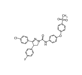 CS(=O)(=O)c1ccc(Oc2ccc(NC(=O)N3CC(c4ccc(F)cc4)C(c4ccc(Cl)cc4)=N3)cc2)cc1